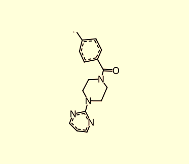 [CH2]c1ccc(C(=O)N2CCN(c3ncccn3)CC2)cc1